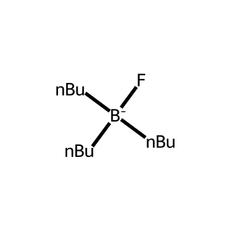 CCCC[B-](F)(CCCC)CCCC